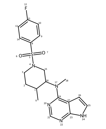 CC1CCN(S(=O)(=O)c2ccc(F)cc2)CC1N(C)c1ncnc2[nH]ccc12